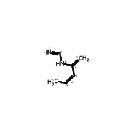 C=C(/C=C\C)NC=N